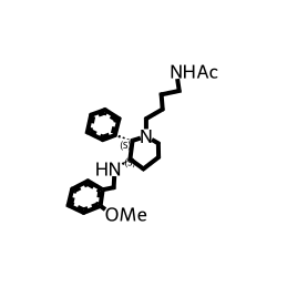 COc1ccccc1CN[C@H]1CCCN(CCCCNC(C)=O)[C@H]1c1ccccc1